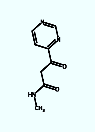 CNC(=O)CC(=O)c1ccncn1